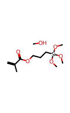 C=C(C)C(=O)OCCC[Si](OC)(OC)OC.CO